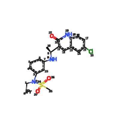 CC(C)CN(c1cccc(N[C@@H](C)c2cc3cc(Cl)ccc3[nH]c2=O)c1)S(C)(=O)=O